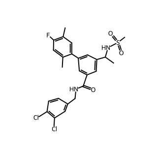 Cc1cc(-c2cc(C(=O)NCc3ccc(Cl)c(Cl)c3)cc(C(C)NS(C)(=O)=O)c2)c(C)cc1F